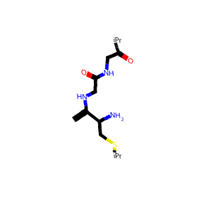 C=C(NCC(=O)NCC(=O)C(C)C)C(N)CSC(C)C